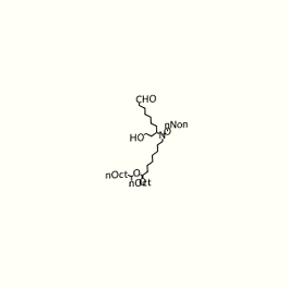 CCCCCCCCCON(CCCCCCCC(=O)OC(CCCCCCCC)CCCCCCCC)C(CCO)CCCCCCC=O